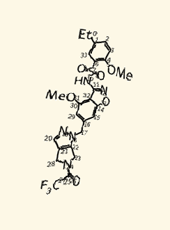 CCc1ccc(OC)c(S(=O)(=O)Nc2noc3cc(Cn4ncc5c4CN(C(=O)C(F)(F)F)C5)cc(OC)c23)c1